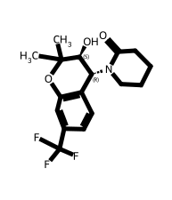 CC1(C)Oc2cc(C(F)(F)F)ccc2[C@@H](N2CCCCC2=O)[C@@H]1O